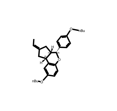 CC=C1C[C@H]2[C@@H](C1)c1cc(OCCCC)ccc1O[C@H]2c1ccc(OCCCC)cc1